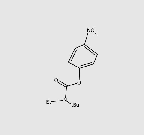 CCN(C(=O)Oc1ccc([N+](=O)[O-])cc1)C(C)(C)C